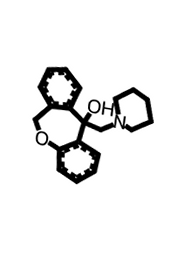 OC1(CN2CCCCC2)c2ccccc2COc2ccccc21